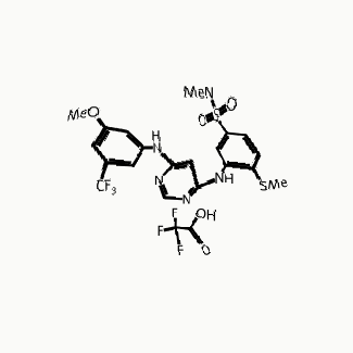 CNS(=O)(=O)c1ccc(SC)c(Nc2cc(Nc3cc(OC)cc(C(F)(F)F)c3)ncn2)c1.O=C(O)C(F)(F)F